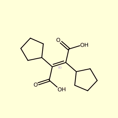 O=C(O)/C(=C(/C(=O)O)C1CCCC1)C1CCCC1